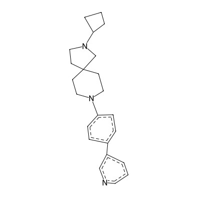 c1cncc(-c2ccc(N3CCC4(CC3)CCN(C3CCC3)C4)cc2)c1